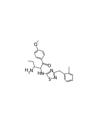 CCC(N)C(Nc1nc(Cc2ccccc2C)ns1)C(=O)c1ccc(OC)cc1